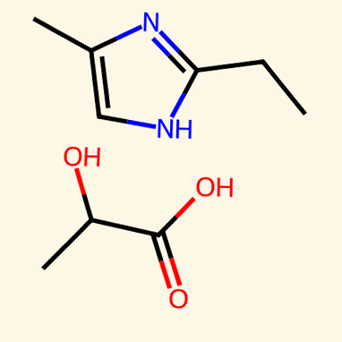 CC(O)C(=O)O.CCc1nc(C)c[nH]1